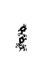 CCC(CC)[C@@H](C)NS(=O)(=O)c1ccc(NC(=O)c2ccc(Cl)cc2C)c(C)c1